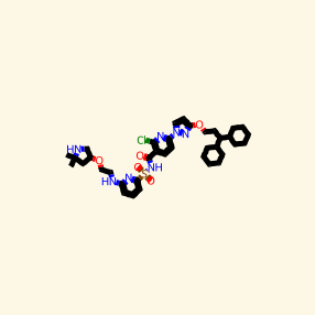 CC1(C)CC(OCCNc2cccc(S(=O)(=O)NC(=O)c3ccc(-n4ccc(OCCC(C5CCCCC5)C5CCCCC5)n4)nc3Cl)n2)CN1